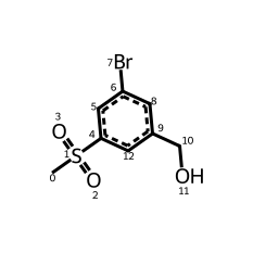 CS(=O)(=O)c1cc(Br)cc(CO)c1